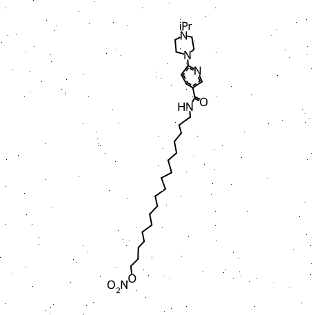 CC(C)N1CCN(c2ccc(C(=O)NCCCCCCCCCCCCCCCCCCO[N+](=O)[O-])cn2)CC1